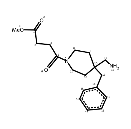 COC(=O)CCC(=O)N1CCC(CN)(Cc2ccccc2)CC1